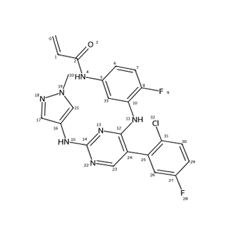 C=CC(=O)Nc1ccc(F)c(Nc2nc(Nc3cnn(C)c3)ncc2-c2cc(F)ccc2Cl)c1